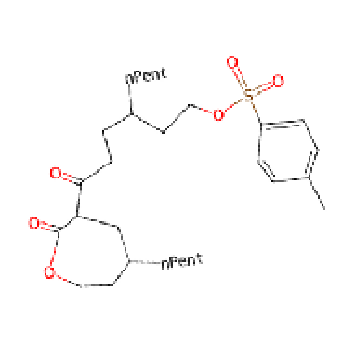 CCCCCC(CCOS(=O)(=O)c1ccc(C)cc1)CCC(=O)C1CC(CCCCC)CCOC1=O